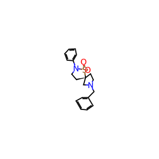 O=S1(=O)N(c2ccccc2)CC[C@]12CCN(Cc1ccccc1)C2